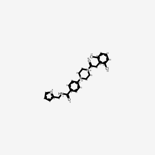 O=C(NCc1ccco1)c1ccc(N2CCN(C(=O)Cc3c(Cl)cccc3Cl)CC2)cc1